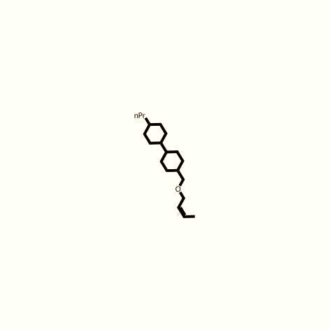 C/C=C\COCC1CCC(C2CCC(CCC)CC2)CC1